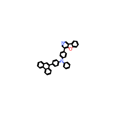 c1ccc(N(c2ccc(-c3cc4ccccc4c4ccccc34)cc2)c2ccc(-c3cncc4c3oc3ccccc34)cc2)cc1